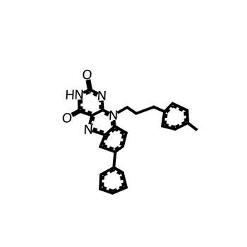 Cc1ccc(CCCn2c3nc(=O)[nH]c(=O)c-3nc3cc(-c4ccccc4)ccc32)cc1